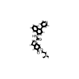 CN(C)CCOc1cc2c(cc1Cl)CCN2C(=O)Nc1ccc(-c2ccncc2)c2ccccc12